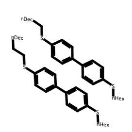 CCCCCCCCCCCCSc1ccc(-c2ccc(SCCCCCC)cc2)cc1.CCCCCCCCCCCSc1ccc(-c2ccc(SCCCCCC)cc2)cc1